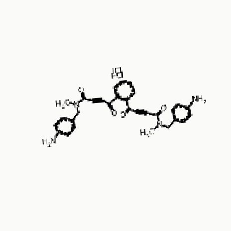 CN(Cc1ccc(N)cc1)C(=O)C#CC(=O)c1ccccc1C(=O)C#CC(=O)N(C)Cc1ccc(N)cc1.Cl.Cl